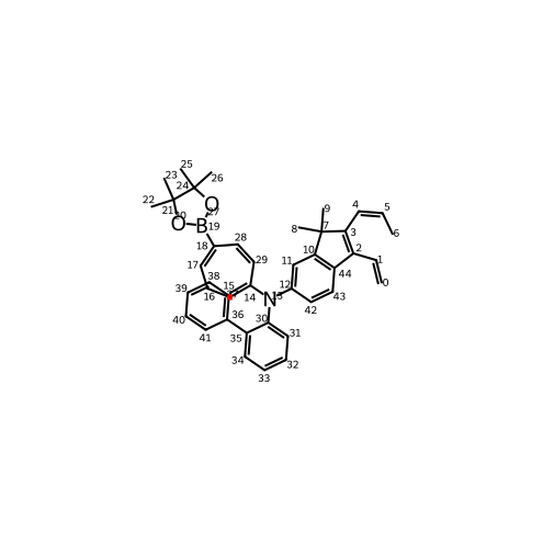 C=CC1=C(/C=C\C)C(C)(C)c2cc(N(C3=CCC=C(B4OC(C)(C)C(C)(C)O4)C=C3)c3ccccc3-c3ccccc3)ccc21